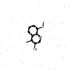 Cc1c(C#N)cnc2c(OI)cccc12